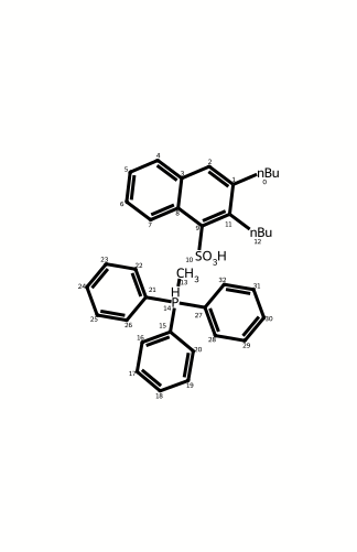 CCCCc1cc2ccccc2c(S(=O)(=O)O)c1CCCC.C[PH](c1ccccc1)(c1ccccc1)c1ccccc1